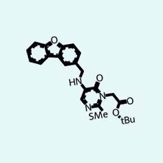 CSc1ncc(NCc2ccc3oc4ccccc4c3c2)c(=O)n1CC(=O)OC(C)(C)C